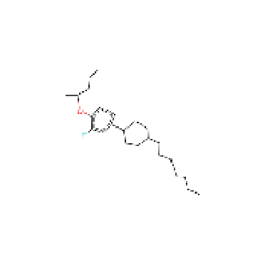 CCCCCCCC1CCC(c2ccc(OC(C)CCC)c(F)c2)CC1